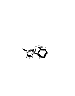 CN1C=NN(c2ccccc2O)N1